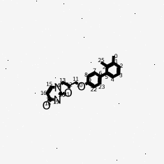 Cc1cccc(-c2ccc(OC[C@@H]3Cn4ccc(=O)nc4O3)cc2)c1C